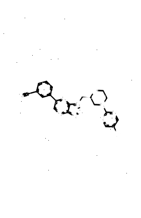 N#Cc1cccc(-c2cnc3nnn(C[C@@H]4CN(c5ncc(Br)cn5)CCO4)c3n2)c1